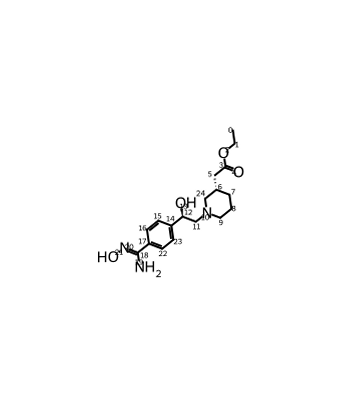 CCOC(=O)C[C@@H]1CCCN(C[C@H](O)c2ccc(/C(N)=N/O)cc2)C1